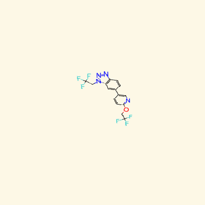 FC(F)(F)COc1ccc(-c2ccc3nnn(CC(F)(F)F)c3c2)cn1